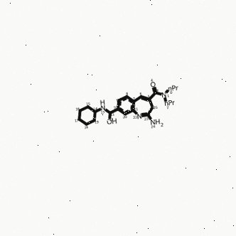 CCCN(CCC)C(=O)C1=Cc2ccc(C(O)NC3CCCCC3)cc2N=C(N)C1